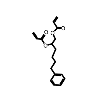 C=CC(=O)OCC(CCCCc1ccccc1)OC(=O)C=C